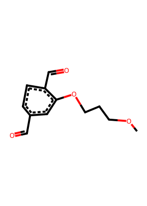 COCCCOc1cc(C=O)ccc1C=O